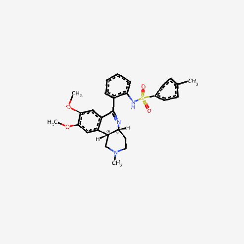 COc1cc2c(cc1OC)[C@H]1CN(C)CC[C@H]1N=C2c1ccccc1NS(=O)(=O)c1ccc(C)cc1